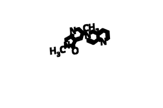 CN1CC2=NCC(C)(N3C=Cc4ncccc4C3)C=C2C1=O